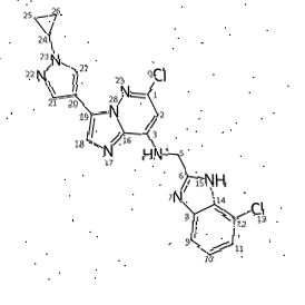 Clc1cc(NCc2nc3cccc(Cl)c3[nH]2)c2ncc(-c3cnn(C4CC4)c3)n2n1